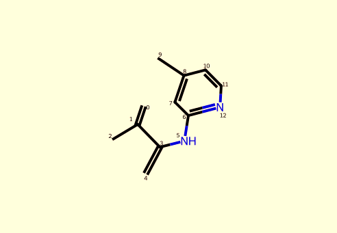 C=C(C)C(=C)Nc1cc(C)ccn1